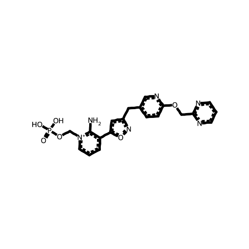 Nc1c(-c2cc(Cc3ccc(OCc4ncccn4)nc3)no2)ccc[n+]1COP(=O)(O)O